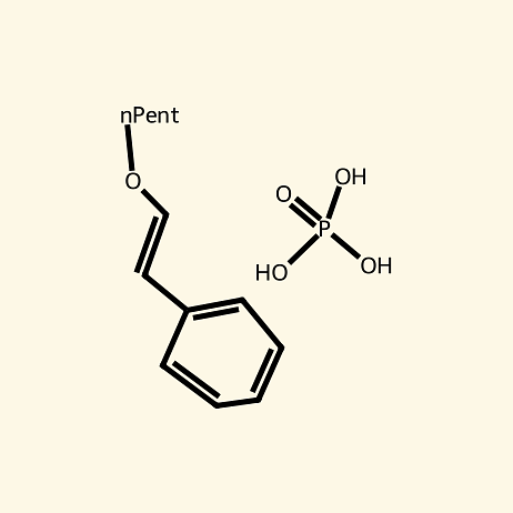 CCCCCOC=Cc1ccccc1.O=P(O)(O)O